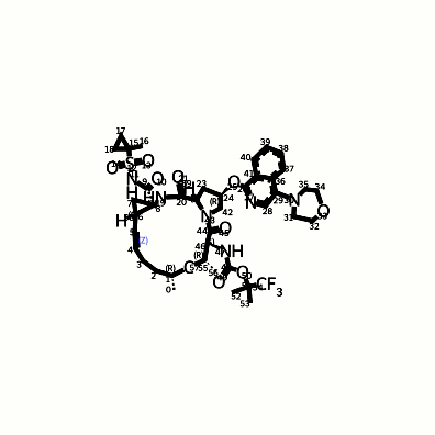 C[C@@H]1CC/C=C\[C@@H]2C[C@@]2(C(=O)NS(=O)(=O)C2(C)CC2)NC(=O)[C@@H]2C[C@@H](Oc3ncc(N4CCOCC4)c4ccccc34)CN2C(=O)[C@@H](NC(=O)OC(C)(C)C(F)(F)F)[C@H](C)C1